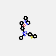 C1=Nc2c(c3ccccc3n2-c2cccc3c2oc2cc(-c4nc(-c5ccccc5)nc(-c5ccc6c(c5)sc5ccccc56)n4)ccc23)CC1